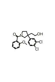 COc1ccccc1C(=O)N1CCC(CCO)(c2ccc(Cl)c(Cl)c2)C1